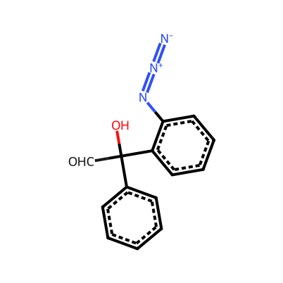 [N-]=[N+]=Nc1ccccc1C(O)(C=O)c1ccccc1